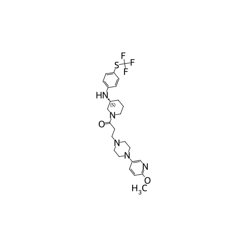 COc1ccc(N2CCN(CCC(=O)N3CCC[C@H](Nc4ccc(SC(F)(F)F)cc4)C3)CC2)cn1